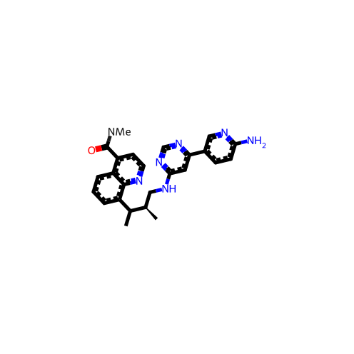 CNC(=O)c1ccnc2c(C(C)[C@H](C)CNc3cc(-c4ccc(N)nc4)ncn3)cccc12